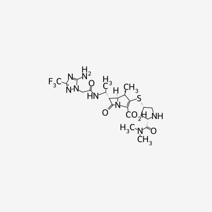 CC(NC(=O)Cn1nc(C(F)(F)F)nc1N)[C@H]1C(=O)N2C(C(=O)O)=C(S[C@@H]3CN[C@H](C(=O)N(C)C)C3)[C@H](C)[C@H]12